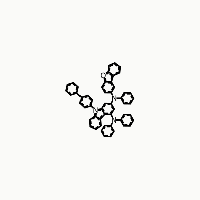 c1ccc(-c2ccc(-n3c4ccccc4c4c(N(c5ccccc5)c5ccccc5)cc(N(c5ccccc5)c5ccc6oc7ccccc7c6c5)cc43)cc2)cc1